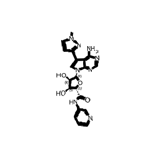 Cn1ccc(-c2cn([C@@H]3O[C@H](C(=O)Nc4cccnc4)[C@@H](O)[C@H]3O)c3ncnc(N)c23)n1